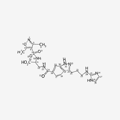 Cc1noc(C)c1S(=O)(=O)NC(CNC(=O)c1ccc2c(CCCNc3ncc[nH]3)n[nH]c2c1)C(=O)O